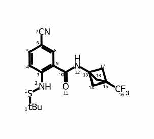 CC(C)(C)SNc1ccc(C#N)cc1C(=O)NC12CC(C(F)(F)F)(C1)C2